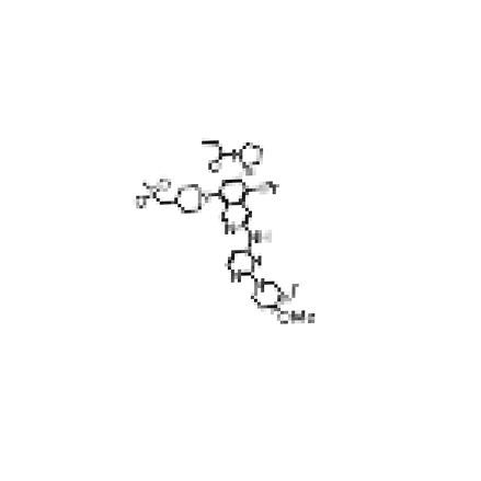 C=CC(=O)N1CCC[C@@H]1c1cc(N2CCC(CS(C)(=O)=O)CC2)c2cnc(Nc3ccnc(N4CC[C@@H](OC)[C@@H](F)C4)n3)cc2c1C(C)C